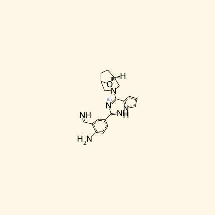 N=Cc1cc(C(=N)/N=C(\c2ccc[nH]2)N2CC3CC[C@H](C2)O3)ccc1N